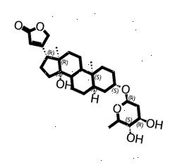 CC1O[C@@H](O[C@H]2CC[C@]3(C)C4CC[C@]5(C)[C@@H](C6=CC(=O)OC6)CC[C@]5(O)C4CC[C@@H]3C2)C[C@@H](O)[C@@H]1O